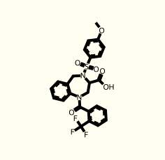 COc1ccc(S(=O)(=O)N2Cc3ccccc3N(C(=O)c3ccccc3C(F)(F)F)CC2C(=O)O)cc1